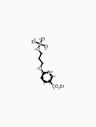 CCOC(=O)c1ccc(OCCCO[Si](CC)(CC)CC)nc1